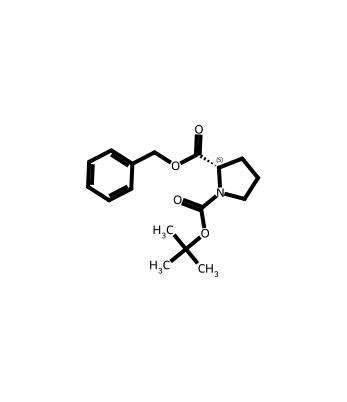 CC(C)(C)OC(=O)N1CCC[C@H]1C(=O)OCc1ccccc1